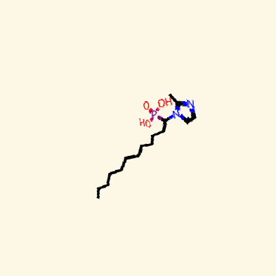 CCCCCCCCCCCC(n1ccnc1C)P(=O)(O)O